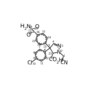 N#CCN1N=CC(c2ccc(Cl)cc2)(c2ccc(S(N)(=O)=O)cc2)C1C(=O)O